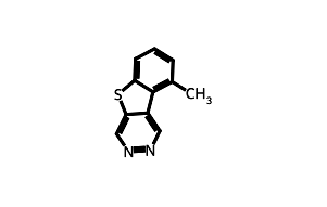 Cc1cccc2sc3cnncc3c12